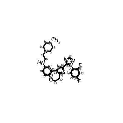 CN1CCN(CCNc2ccc3c(n2)-c2nc(-c4ncnn4-c4ccc(F)cc4F)sc2CCO3)CC1